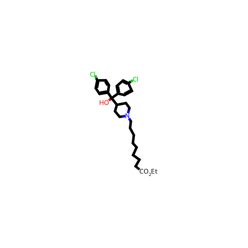 CCOC(=O)CCCCCCCCN1CCC(C(O)(c2ccc(Cl)cc2)c2ccc(Cl)cc2)CC1